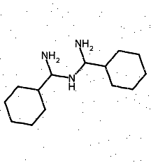 NC(NC(N)C1CCCCC1)C1CCCCC1